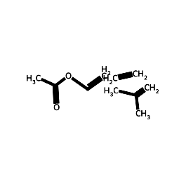 C=C.C=C(C)C.C=COC(C)=O